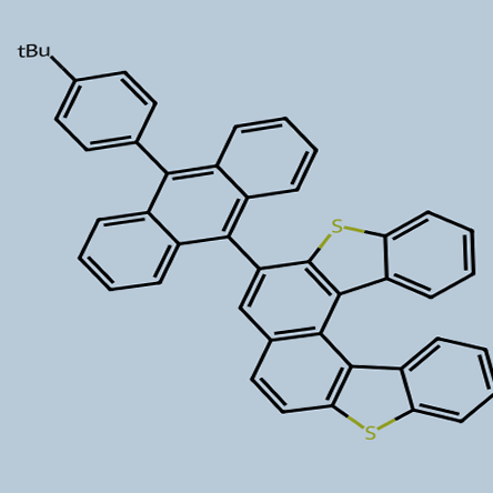 CC(C)(C)c1ccc(-c2c3ccccc3c(-c3cc4ccc5sc6ccccc6c5c4c4c3sc3ccccc34)c3ccccc23)cc1